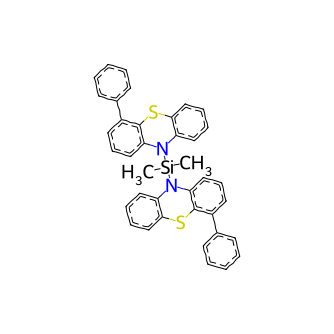 C[Si](C)(N1c2ccccc2Sc2c(-c3ccccc3)cccc21)N1c2ccccc2Sc2c(-c3ccccc3)cccc21